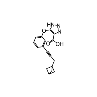 O=C(O)c1nn[nH]c1Oc1cccc(C#CCC23CC(C2)C3)c1